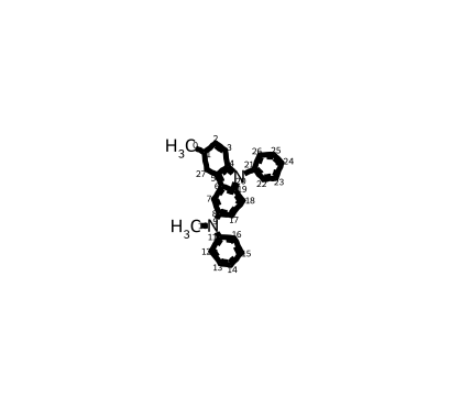 CC1C=Cc2c(c3cc(N(C)c4ccccc4)ccc3n2-c2ccccc2)C1